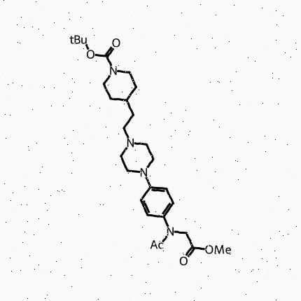 COC(=O)CN(C(C)=O)c1ccc(N2CCN(CCC3CCN(C(=O)OC(C)(C)C)CC3)CC2)cc1